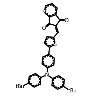 CC(C)(C)c1ccc(N(c2ccc(-c3ccc(/C=C4/C(=O)c5cccnc5C4=O)s3)cc2)c2ccc(C(C)(C)C)cc2)cc1